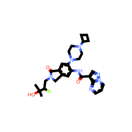 CC(C)(O)C(F)CN1Cc2cc(NC(=O)c3cnn4cccnc34)c(N3CCN(C4CCC4)CC3)cc2C1=O